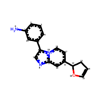 Nc1cccc(-c2cnc3cc(C4CC=CO4)ccn23)c1